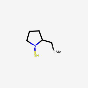 COCC1CCCN1S